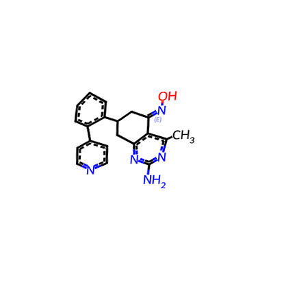 Cc1nc(N)nc2c1/C(=N/O)CC(c1ccccc1-c1ccncc1)C2